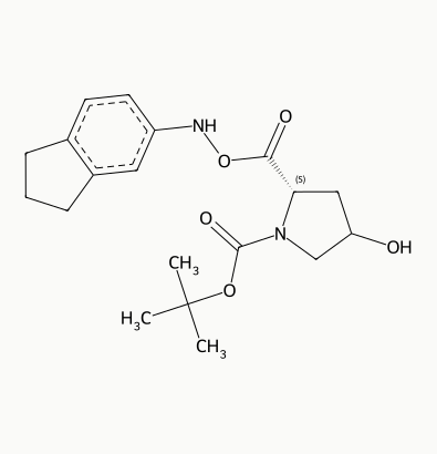 CC(C)(C)OC(=O)N1CC(O)C[C@H]1C(=O)ONc1ccc2c(c1)CCC2